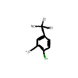 CCC(C#N)(CC)c1ccc(Br)c(C)c1